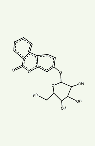 O=c1oc2cc(OC3OC(CO)C(O)C(O)C3O)ccc2c2ccccc12